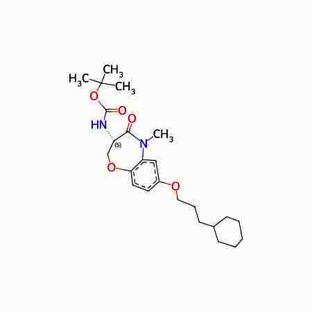 CN1C(=O)[C@@H](NC(=O)OC(C)(C)C)COc2ccc(OCCCC3CCCCC3)cc21